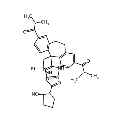 CC[C@H](CC1(c2nnn[nH]2)c2ccc(C(=O)N(C)C)cc2CCc2cc(C(=O)N(C)C)ccc21)NCC(=O)N1CCC[C@H]1C#N